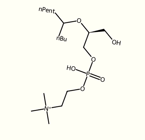 CCCCCC(CCCC)O[C@@H](CO)COP(=O)(O)OCC[N+](C)(C)C